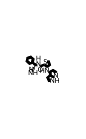 N=NC[C@@H](NC(=O)c1sccc1Nc1ccnc2[nH]ccc12)c1ccccc1